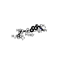 CC[C@H](/C=C/[C@@H](C)[C@H]1CCC2C3CC=C4C[C@@H](OC(=O)NCCOP(=O)(O)OCC[N+](C)(C)C)CC[C@]4(C)C3CC[C@@]21C)C(C)C.[OH-]